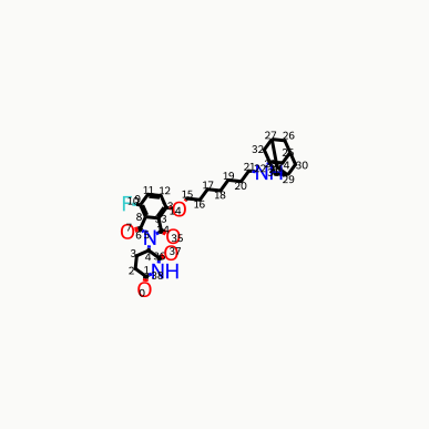 O=C1CCC(N2C(=O)c3c(F)ccc(OCCCCCCCNC45CC6CC(CC(C6)C4)C5)c3C2=O)C(=O)N1